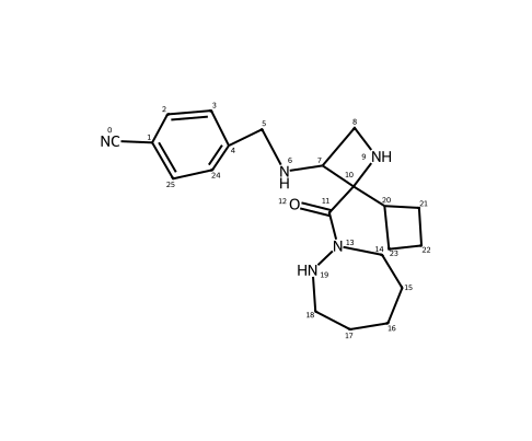 N#Cc1ccc(CNC2CNC2(C(=O)N2CCCCCN2)C2CCC2)cc1